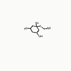 SCSC1(S)CC(S)CC(S)C1